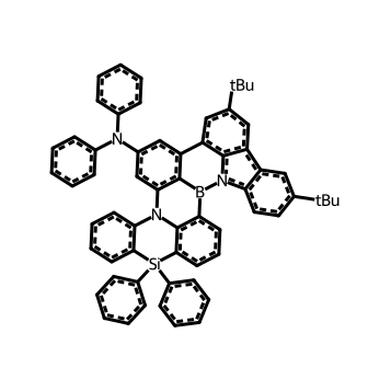 CC(C)(C)c1ccc2c(c1)c1cc(C(C)(C)C)cc3c1n2B1c2cccc4c2N(c2ccccc2[Si]4(c2ccccc2)c2ccccc2)c2cc(N(c4ccccc4)c4ccccc4)cc-3c21